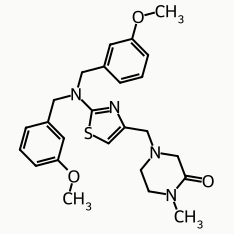 COc1cccc(CN(Cc2cccc(OC)c2)c2nc(CN3CCN(C)C(=O)C3)cs2)c1